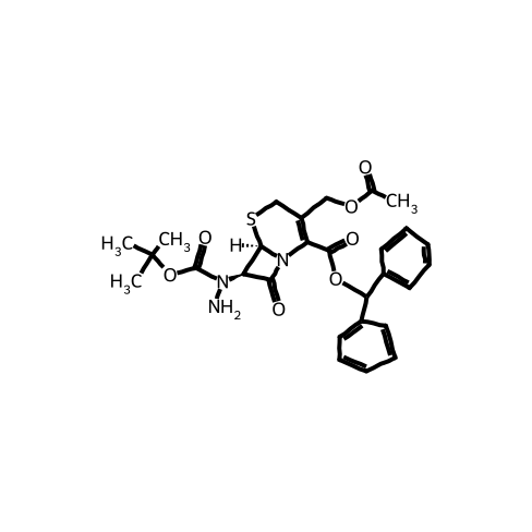 CC(=O)OCC1=C(C(=O)OC(c2ccccc2)c2ccccc2)N2C(=O)[C@@H](N(N)C(=O)OC(C)(C)C)[C@H]2SC1